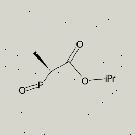 CC(C)OC(=O)[C@H](C)P=O